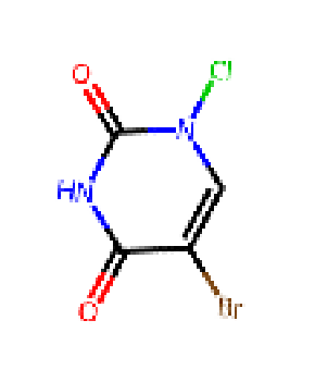 O=c1[nH]c(=O)n(Cl)cc1Br